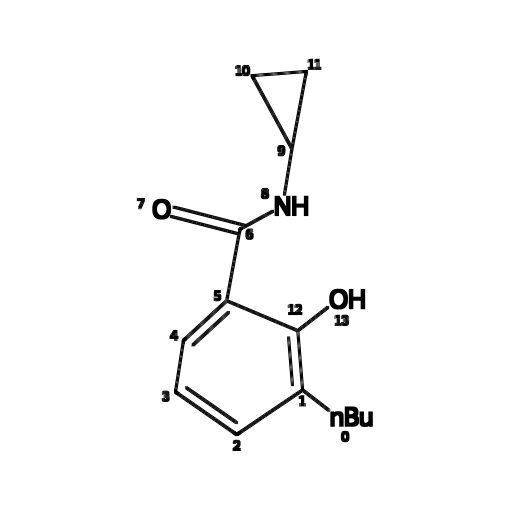 CCCCc1cccc(C(=O)NC2CC2)c1O